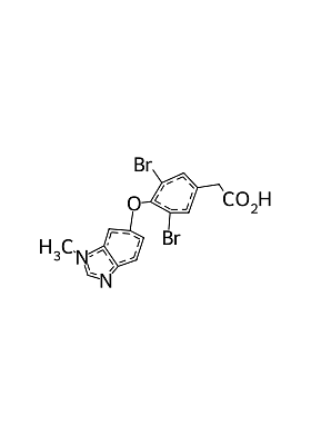 Cn1cnc2ccc(Oc3c(Br)cc(CC(=O)O)cc3Br)cc21